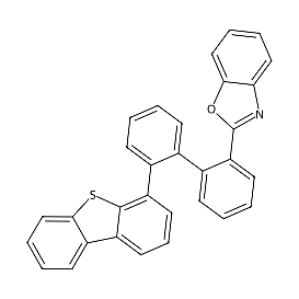 c1ccc(-c2ccccc2-c2cccc3c2sc2ccccc23)c(-c2nc3ccccc3o2)c1